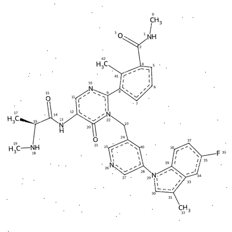 CNC(=O)c1cccc(-c2ncc(NC(=O)[C@H](C)NC)c(=O)n2Cc2cncc(-n3cc(C)c4cc(F)ccc43)c2)c1C